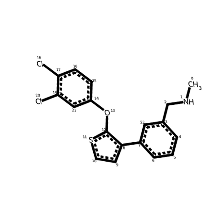 CNCc1cccc(-c2ccsc2Oc2ccc(Cl)c(Cl)c2)c1